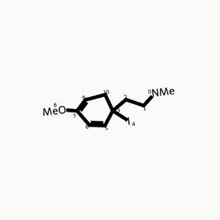 CNCCC1(I)C=CC(OC)=CC1